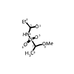 CCC([O])NS(=O)(=O)C(C)OC